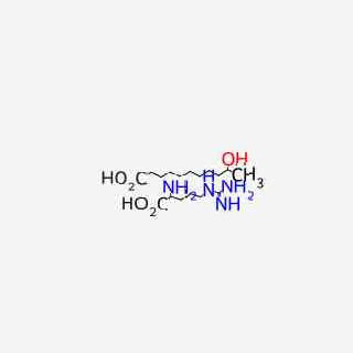 CC(O)CCCCCCCCC(=O)O.N=C(N)NCCC[C@H](N)C(=O)O